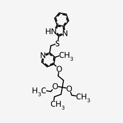 CCCC(CCOc1ccnc(CSc2nc3ccccc3[nH]2)c1C)(OCC)OCC